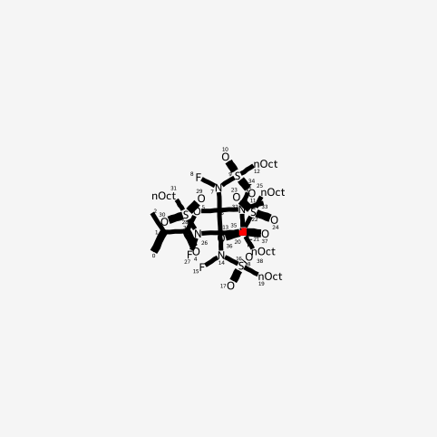 C=C(C)C(=O)OC(N(F)S(=O)(=O)CCCCCCCC)(C(N(F)S(=O)(=O)CCCCCCCC)(N(F)S(=O)(=O)CCCCCCCC)N(F)S(=O)(=O)CCCCCCCC)[N+](C)(F)S(=O)(=O)CCCCCCCC